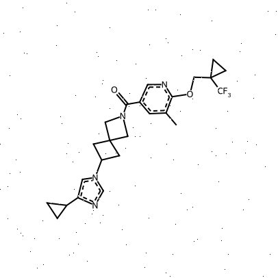 Cc1cc(C(=O)N2CC3(CC(n4cnc(C5CC5)c4)C3)C2)cnc1OCC1(C(F)(F)F)CC1